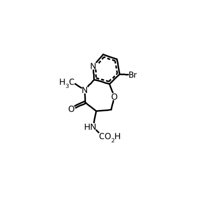 CN1C(=O)C(NC(=O)O)COc2c(Br)ccnc21